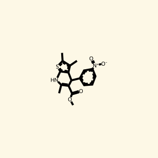 COC(=O)C1=C(C)Nc2sc(C)c(C)c2C1c1cccc([N+](=O)[O-])c1